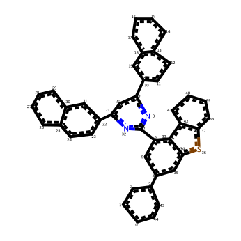 c1ccc(-c2cc(-c3nc(-c4ccc5ccccc5c4)cc(-c4ccc5ccccc5c4)n3)c3c(c2)sc2ccccc23)cc1